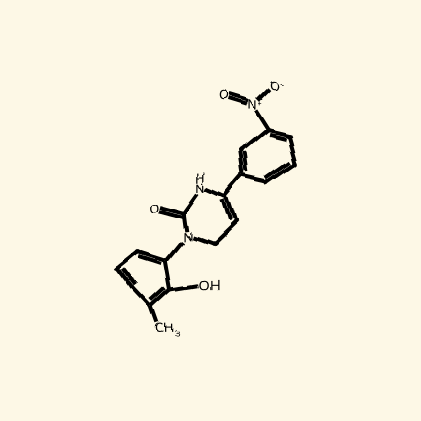 Cc1cccc(N2CC=C(c3cccc([N+](=O)[O-])c3)NC2=O)c1O